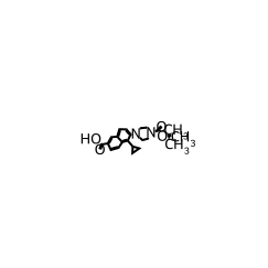 CC(C)(C)OC(=O)N1CCN(c2ccc3cc(C(=O)O)ccc3c2C2CC2)CC1